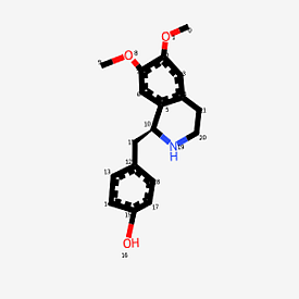 COc1cc2c(cc1OC)[C@H](Cc1ccc(O)cc1)NCC2